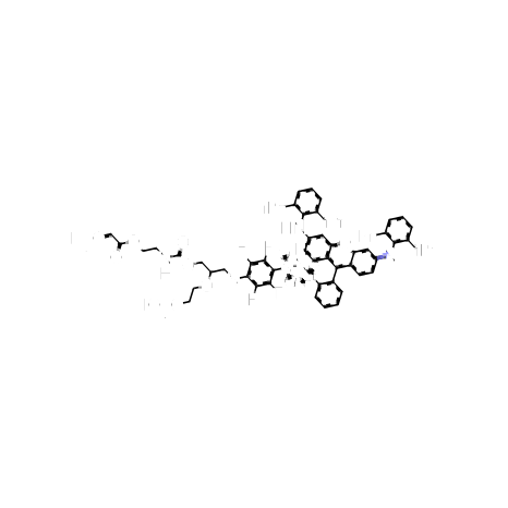 C=CC(=O)OCCNC(=O)OCC(CSc1c(F)c(F)c(S(=O)(=O)NS(=O)(=O)c2ccccc2-c2c3cc/c(=N/c4c(C(C)C)cccc4C(C)C)cc-3oc3cc(Nc4c(C(C)C)cccc4C(C)C)ccc23)c(F)c1F)OCCC(=O)O